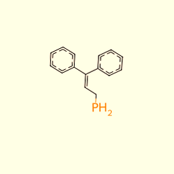 PCC=C(c1ccccc1)c1ccccc1